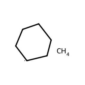 C.[CH]1CCCCC1